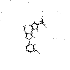 O=Cc1cn(-c2cccc(Cl)c2)nc1-c1ccc([N+](=O)[O-])o1